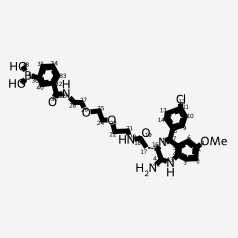 COc1ccc2c(c1)C(c1ccc(Cl)cc1)=N[C@@H](CC(=O)NCCOCCOCCNC(=O)c1cccc(B(O)O)c1)C(N)N2